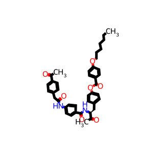 CCCCCCCOc1ccc(C(=O)Oc2ccc(C[C@H](NC(=O)c3ccc(NC(=O)Cc4ccc(C(C)=O)cc4)cc3)C(C)=O)cc2)cc1